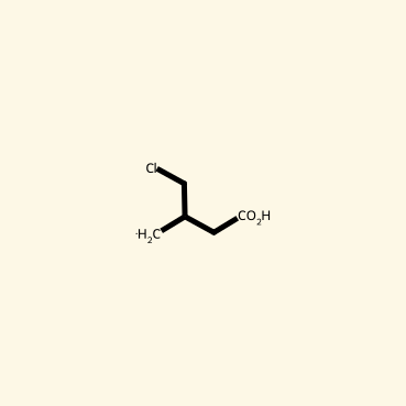 [CH2]C(CCl)CC(=O)O